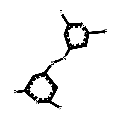 Fc1cc(SSc2cc(F)nc(F)c2)cc(F)n1